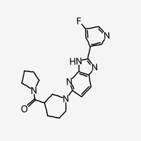 O=C(C1CCCN(c2ccc3nc(-c4cncc(F)c4)[nH]c3n2)C1)N1CCCC1